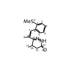 CSc1ccccc1C=C(C)C1=NNC(=O)CC1C